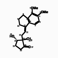 COc1ccc2c(c1OC)CCCC2=CC[C@]1(C)C(=O)CC[C@@H]1O